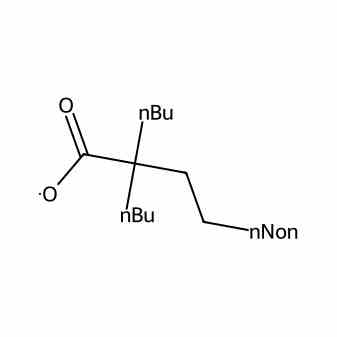 CCCCCCCCCCCC(CCCC)(CCCC)C([O])=O